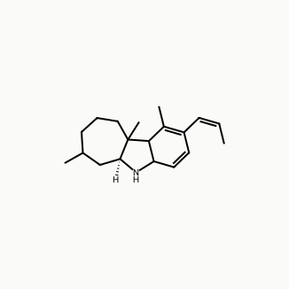 C/C=C\C1=C(C)C2C(C=C1)N[C@H]1CC(C)CCCC21C